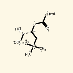 CCCCCCCC(=O)O[C@@H](CC(=O)[O-])C[N+](C)(C)C.Cl